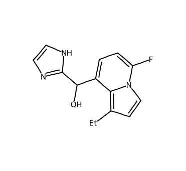 CCc1ccn2c(F)ccc(C(O)c3ncc[nH]3)c12